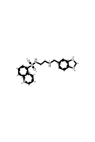 O=S(=O)(NCCNCc1ccc2c(c1)OCO2)c1cccc2ncccc12